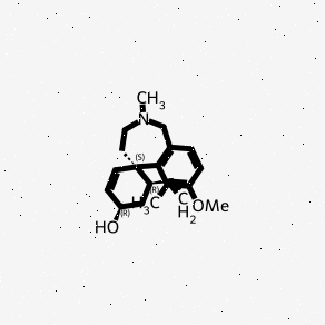 C=C[C@H]1C[C@@H](O)C=C[C@]12CCN(C)Cc1ccc(OC)c(C)c12